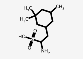 CC1CC(CC(N)S(=O)(=O)O)CC(C)(C)C1